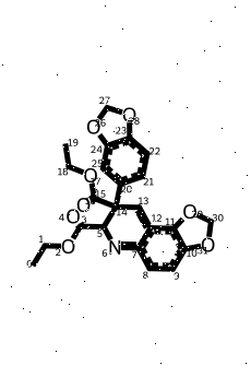 CCOC(=O)C1N=c2ccc3c(c2=CC1(C(=O)OCC)c1ccc2c(c1)OCO2)OCO3